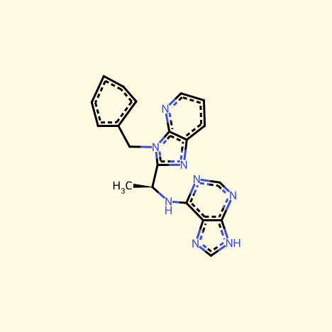 C[C@H](Nc1ncnc2[nH]cnc12)c1nc2cccnc2n1Cc1ccccc1